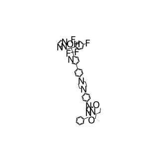 CC[C@@H]([C@H](C)OCc1ccccc1)n1ncn(-c2ccc(N3CCN(c4ccc(-c5ccc(C(F)(F)C(O)(Cn6nccn6)c6ccc(F)cc6F)nc5)cc4)CC3)cc2)c1=O